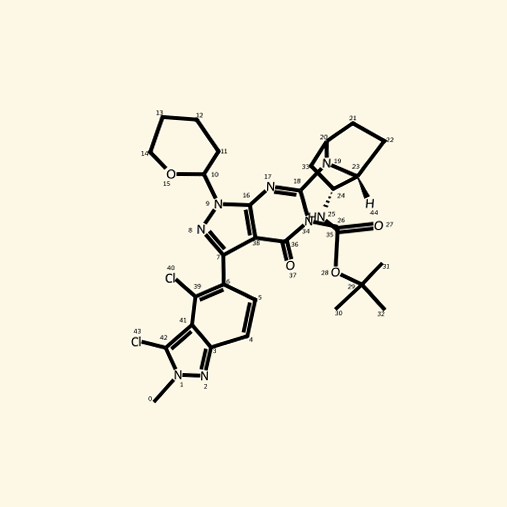 Cn1nc2ccc(-c3nn(C4CCCCO4)c4nc(N5C6CC[C@@H]5[C@H](NC(=O)OC(C)(C)C)C6)n(C)c(=O)c34)c(Cl)c2c1Cl